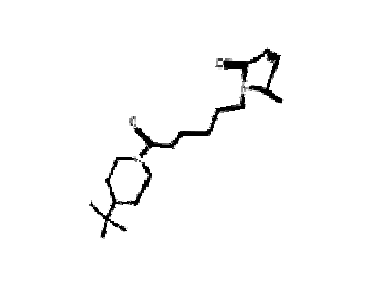 C=C1C=CC(=O)N1CCCCCC(=O)N1CCC(C(C)(C)C)CC1